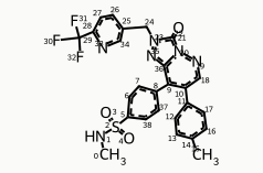 CNS(=O)(=O)c1ccc(-c2c(-c3ccc(C)cc3)cnn3c(=O)n(Cc4ccc(C(F)(F)F)nc4)nc23)cc1